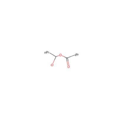 CCCC([O])OC(=O)C(C)C